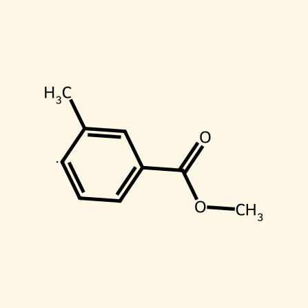 COC(=O)c1cc[c]c(C)c1